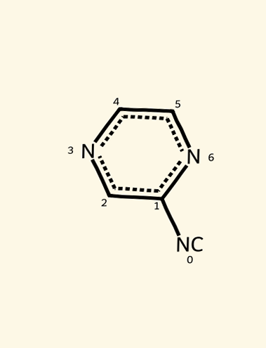 [C-]#[N+]c1cnccn1